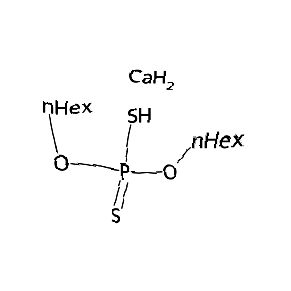 CCCCCCOP(=S)(S)OCCCCCC.[CaH2]